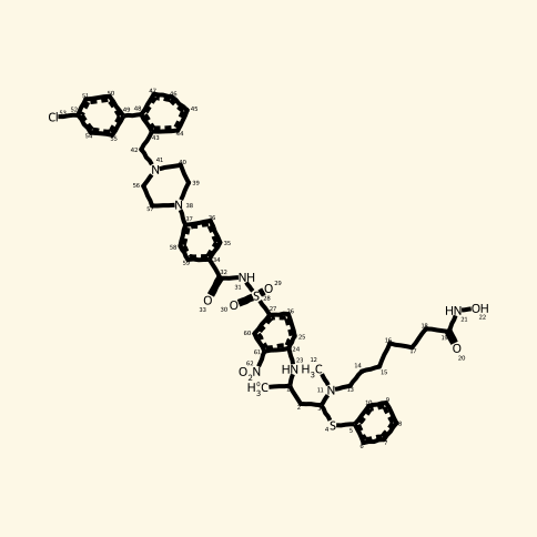 CC(CC(Sc1ccccc1)N(C)CCCCCCC(=O)NO)Nc1ccc(S(=O)(=O)NC(=O)c2ccc(N3CCN(Cc4ccccc4-c4ccc(Cl)cc4)CC3)cc2)cc1[N+](=O)[O-]